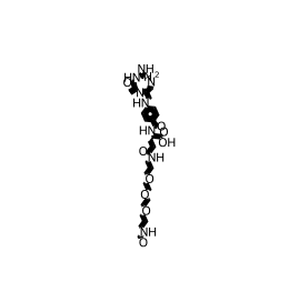 C=C1\N=C(CNc2ccc(C(=O)N[C@H](CCC(=O)NCCCOCCOCCOCCCNC=O)C(=O)O)cc2)/C=N\N=C(\N)NC1=O